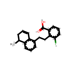 CC1CC=Cc2c(CCc3c(F)cccc3C(=O)O)cccc21